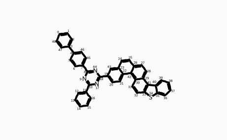 c1ccc(-c2ccc(-c3nc(-c4ccccc4)nc(-c4ccc5c(ccc6ccc7c(ccc8sc9ccccc9c87)c65)c4)n3)cc2)cc1